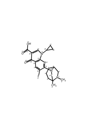 CN1CC2CCCC1(C)CN2c1nc2c(cc1F)c(=O)c(C(=O)O)cn2C1CC1